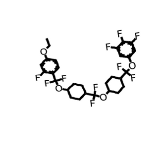 CCOc1ccc(C(F)(F)OC2CCC(C(F)(F)OC3CCC(C(F)(F)Oc4cc(F)c(F)c(F)c4)CC3)CC2)c(F)c1